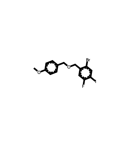 COc1ccc(COCc2cc(F)c(I)cc2Br)cc1